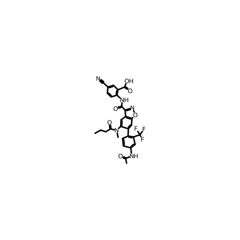 CCCC(=O)N(C)c1cc2c(C(=O)Nc3ccc(C#N)cc3C(=O)O)noc2cc1-c1ccc(NC(C)=O)cc1C(F)(F)F